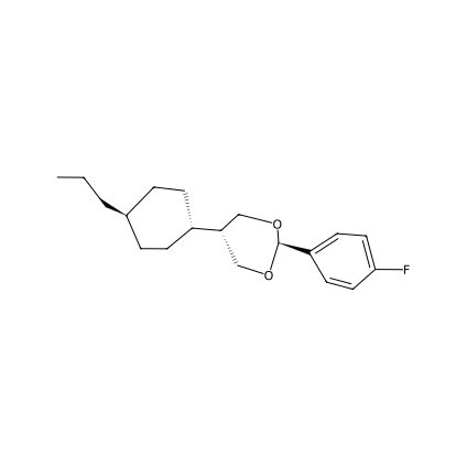 CCC[C@H]1CC[C@H]([C@H]2CO[C@H](c3ccc(F)cc3)OC2)CC1